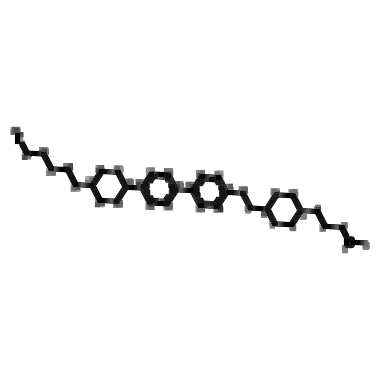 COCCCC1CCC(CCc2ccc(-c3ccc(C4CCC(CCCCCF)CC4)cc3)cc2)CC1